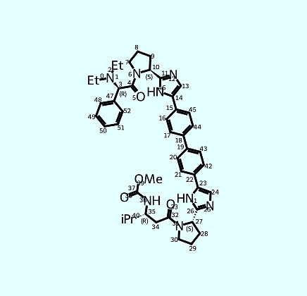 CCN(CC)[C@@H](C(=O)N1CCC[C@H]1c1ncc(-c2ccc(-c3ccc(-c4cnc([C@@H]5CCCN5C(=O)C[C@@H](NC(=O)OC)C(C)C)[nH]4)cc3)cc2)[nH]1)c1ccccc1